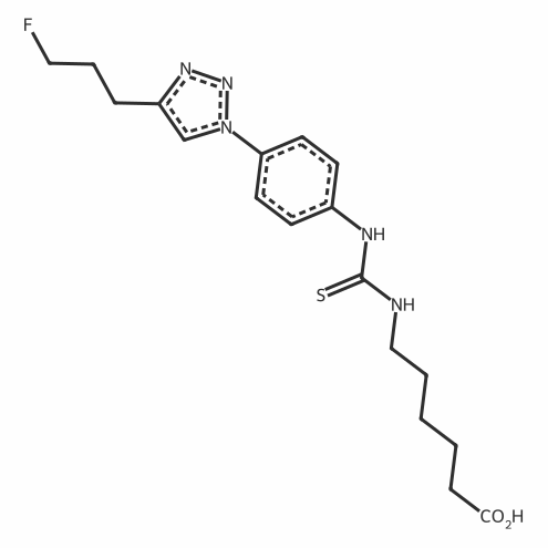 O=C(O)CCCCCNC(=S)Nc1ccc(-n2cc(CCCF)nn2)cc1